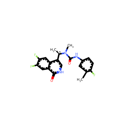 Cc1cc(NC(=O)N(C)[C@H](C)c2c[nH]c(=O)c3cc(F)c(F)cc23)ccc1F